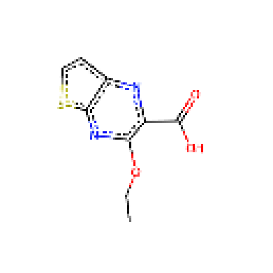 CCOc1nc2sccc2nc1C(=O)O